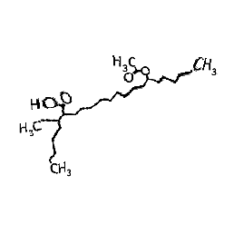 CCCCCCC(CCCCCCCCCC(C(=O)O)C(CC)CCCCC)OC(C)=O